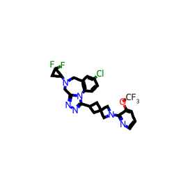 FC(F)(F)Oc1cccnc1N1CC2(CC(c3nnc4n3-c3ccc(Cl)cc3CN(C3CC3(F)F)C4)C2)C1